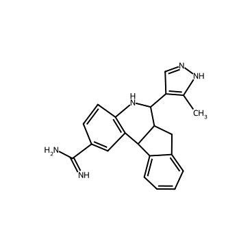 Cc1[nH]ncc1C1Nc2ccc(C(=N)N)cc2C2c3ccccc3CC12